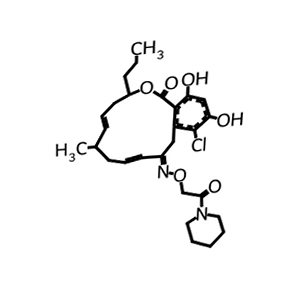 CCCC1C/C=C/C(C)C/C=C/C(=N/OCC(=O)N2CCCCC2)Cc2c(Cl)c(O)cc(O)c2C(=O)O1